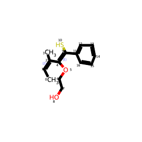 C/C=C(C)\C(OCCO)=C(/S)c1ccccc1